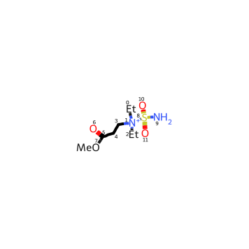 CC[N+](CC)(CCC(=O)OC)S(N)(=O)=O